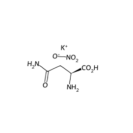 NC(=O)C[C@H](N)C(=O)O.O=[N+]([O-])[O-].[K+]